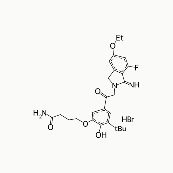 Br.CCOc1cc(F)c2c(c1)CN(CC(=O)c1cc(OCCCC(N)=O)c(O)c(C(C)(C)C)c1)C2=N